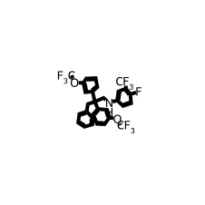 Fc1ccc(NCC(Cc2ccccc2)(c2cccc(OC(F)(F)F)c2)c2cccc(OC(F)(F)F)c2)cc1C(F)(F)F